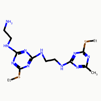 CCSc1nc(C)nc(NCCNc2nc(NCCN)nc(SCC)n2)n1